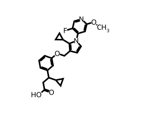 COc1cc(-n2ccc(COc3cccc(C(CC(=O)O)C4CC4)c3)c2C2CC2)c(F)cn1